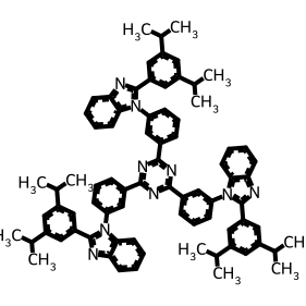 CC(C)c1cc(-c2nc3ccccc3n2-c2cccc(-c3nc(-c4cccc(-n5c(-c6cc(C(C)C)cc(C(C)C)c6)nc6ccccc65)c4)nc(-c4cccc(-n5c(-c6cc(C(C)C)cc(C(C)C)c6)nc6ccccc65)c4)n3)c2)cc(C(C)C)c1